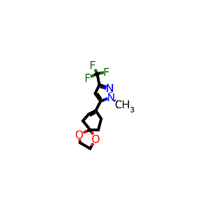 Cn1nc(C(F)(F)F)cc1C1=CCC2(CC1)OCCO2